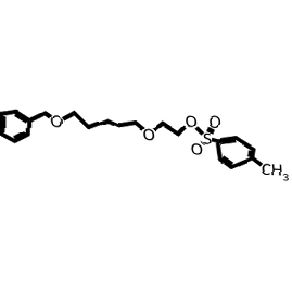 Cc1ccc(S(=O)(=O)OCCOCCCCCOCc2ccccc2)cc1